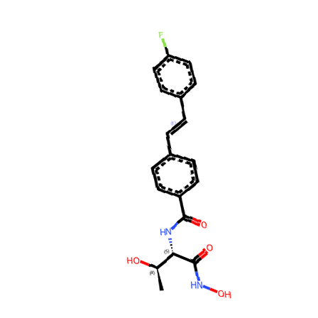 C[C@@H](O)[C@H](NC(=O)c1ccc(/C=C/c2ccc(F)cc2)cc1)C(=O)NO